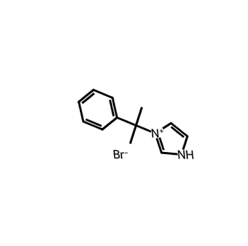 CC(C)(c1ccccc1)[n+]1cc[nH]c1.[Br-]